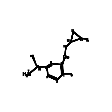 Cc1ccc([C@H](C)N)cc1OCC1CC1C